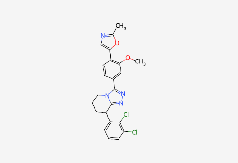 COc1cc(-c2nnc3n2CCCC3c2cccc(Cl)c2Cl)ccc1-c1cnc(C)o1